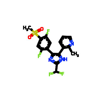 Cc1ncccc1-c1[nH]c(C(F)F)nc1-c1cc(F)c(S(C)(=O)=O)cc1F